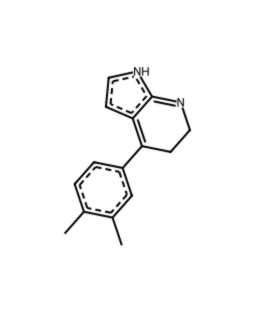 Cc1ccc(C2=c3cc[nH]c3=NCC2)cc1C